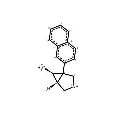 C[C@@H]1[C@H]2CNCC12c1ccc2ccccc2c1